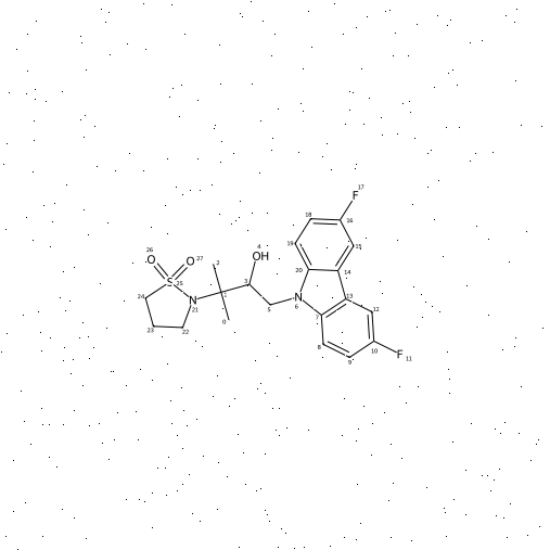 CC(C)(C(O)Cn1c2ccc(F)cc2c2cc(F)ccc21)N1CCCS1(=O)=O